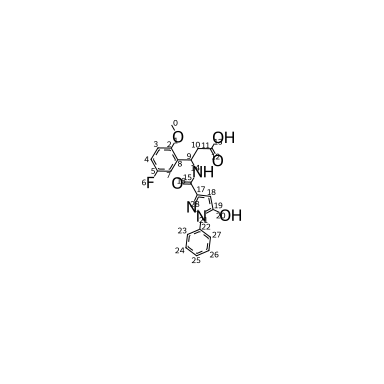 COc1ccc(F)cc1C(CC(=O)O)NC(=O)c1cc(O)n(-c2ccccc2)n1